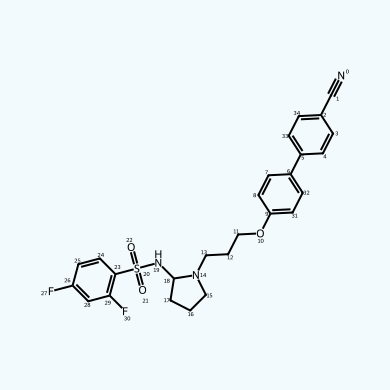 N#Cc1ccc(-c2ccc(OCCCN3CCCC3NS(=O)(=O)c3ccc(F)cc3F)cc2)cc1